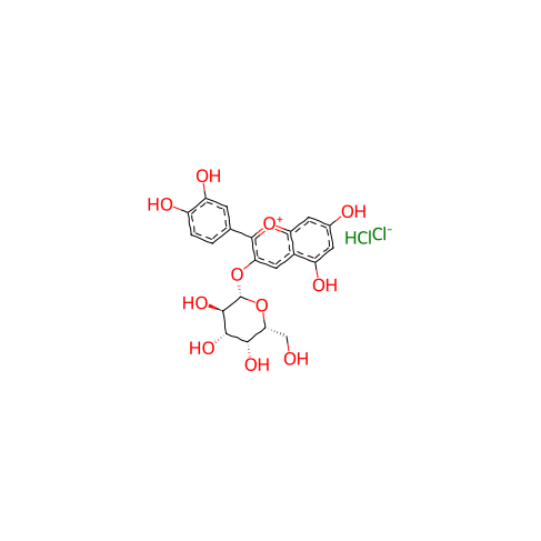 Cl.OC[C@H]1O[C@@H](Oc2cc3c(O)cc(O)cc3[o+]c2-c2ccc(O)c(O)c2)[C@H](O)[C@@H](O)[C@H]1O.[Cl-]